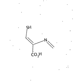 C=N/C(=C\S)C(=O)O